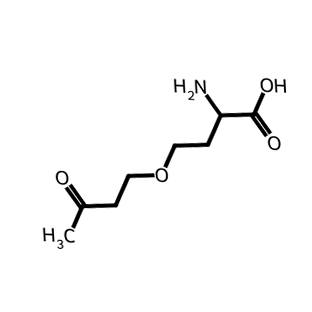 CC(=O)CCOCCC(N)C(=O)O